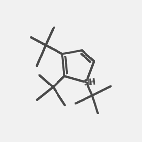 CC(C)(C)C1=C(C(C)(C)C)[SiH](C(C)(C)C)C=C1